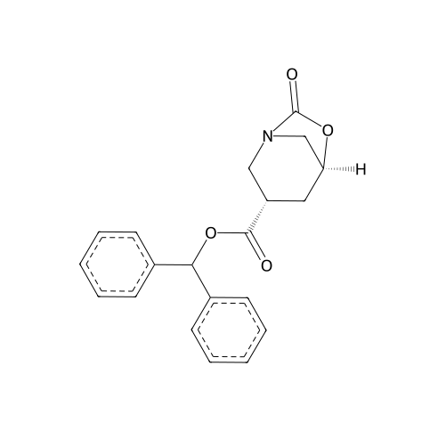 O=C(OC(c1ccccc1)c1ccccc1)[C@H]1C[C@H]2CN(C1)C(=O)O2